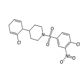 O=[N+]([O-])c1cc(S(=O)(=O)N2CCC(C3C=CCC=C3Cl)CC2)ccc1Cl